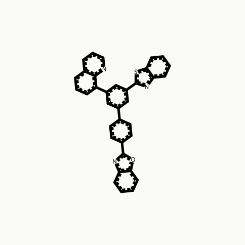 c1cnc2c(-c3cc(-c4ccc(-c5nc6ccccc6o5)cc4)cc(-c4nc5ccccc5s4)c3)cccc2c1